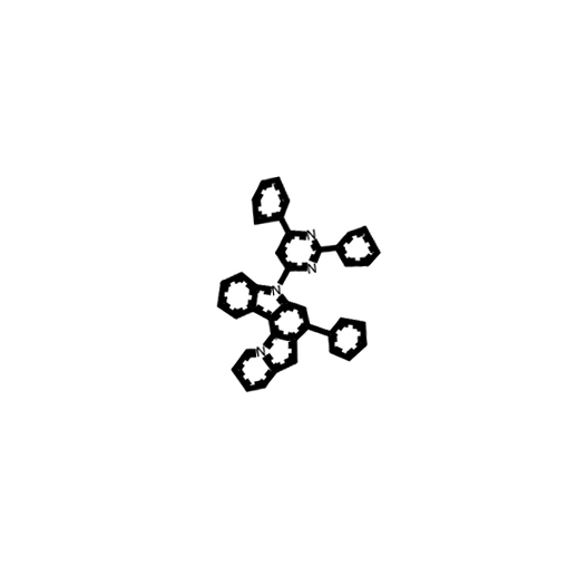 c1ccc(-c2cc(-n3c4ccccc4c4c3cc(-c3ccccc3)c3cc5ccccn5c34)nc(-c3ccccc3)n2)cc1